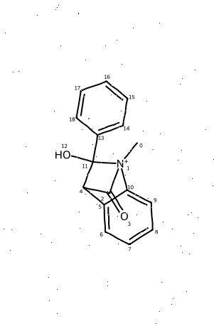 C[N+]12C(=O)C(c3ccccc31)C2(O)c1ccccc1